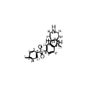 Cc1ccc(S(=O)(=O)c2ccc3c(c2)[C@H]2CCNCC[C@@H]2N3C)cc1